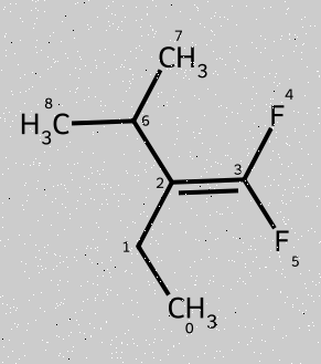 CCC(=C(F)F)C(C)C